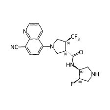 N#Cc1ccc(N2C[C@@H](C(F)(F)F)[C@H](C(=O)N[C@H]3CNC[C@H]3F)C2)c2cccnc12